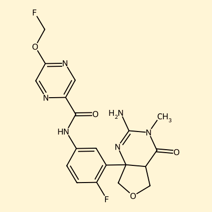 CN1C(=O)C2COCC2(c2cc(NC(=O)c3cnc(OCF)cn3)ccc2F)N=C1N